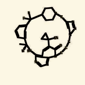 C[C@H]1Nc2ncnc3c2cc(C2(C#N)CC2)c(=O)n3CCCn2cc(nn2)CN2CCC(CC2)C(F)(F)c2cccc1c2